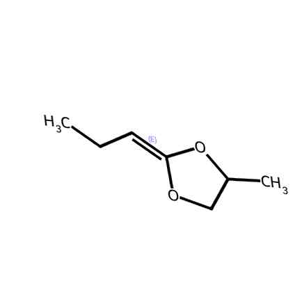 CC/C=C1\OCC(C)O1